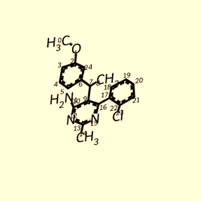 COc1cccc(C(C)c2c(N)nc(C)nc2-c2ccccc2Cl)c1